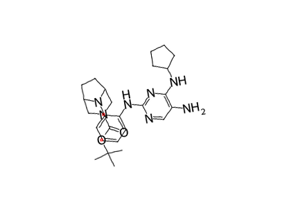 CC(C)(C)OC(=O)N1CC2CCC(C1)N2c1ccccc1Nc1ncc(N)c(NC2CCCC2)n1